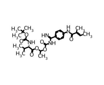 C/C=C(\C)C(=O)Nc1ccc(C(=N)NC(=O)OC(C)OC(=O)[C@@H](NC(=O)OC(C)(C)C)C(C)C)cc1